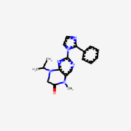 CC(C)N1CC(=O)N(C)c2cnc(-n3ccnc3-c3ccccc3)nc21